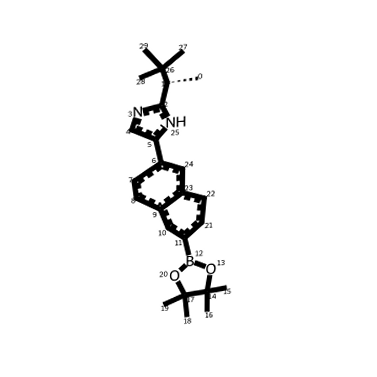 C[C@H](c1ncc(-c2ccc3cc(B4OC(C)(C)C(C)(C)O4)ccc3c2)[nH]1)C(C)(C)C